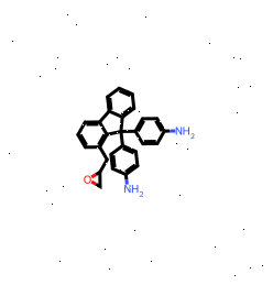 Nc1ccc(C2(c3ccc(N)cc3)c3ccccc3-c3cccc(CC4CO4)c32)cc1